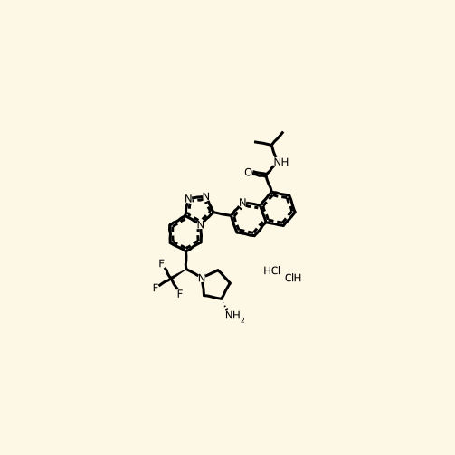 CC(C)NC(=O)c1cccc2ccc(-c3nnc4ccc([C@@H](N5CC[C@H](N)C5)C(F)(F)F)cn34)nc12.Cl.Cl